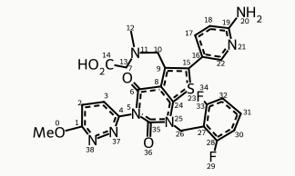 COc1ccc(-n2c(=O)c3c(CN(C)CC(=O)O)c(-c4ccc(N)nc4)sc3n(Cc3c(F)cccc3F)c2=O)nn1